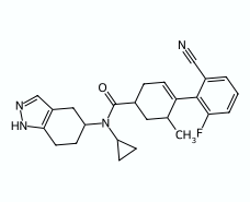 CC1CC(C(=O)N(C2CC2)C2CCc3[nH]ncc3C2)CC=C1c1c(F)cccc1C#N